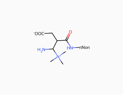 CCCCCCCCCNC(=O)C(CC(=O)[O-])C(N)[N+](C)(C)C